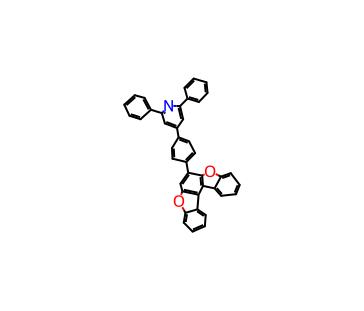 c1ccc(-c2cc(-c3ccc(-c4cc5oc6ccccc6c5c5c4oc4ccccc45)cc3)cc(-c3ccccc3)n2)cc1